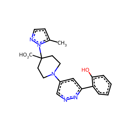 Cc1ccnn1C1(C(=O)O)CCN(c2cnnc(-c3ccccc3O)c2)CC1